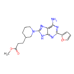 COC(=O)CCC1CCCN(c2nc3c(N)nc(-c4ccco4)nc3[nH]2)C1